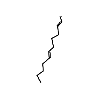 [CH2]C=CCCCC=CCCCC